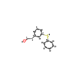 O=CCc1cccc(Sc2ccccc2)c1